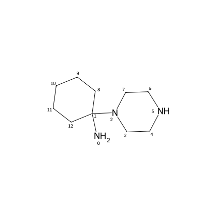 NC1(N2CCNCC2)CCCCC1